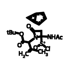 C=C(C)C(C(=O)OC(C)(C)C)N1C(=O)CC1(NC(C)=O)[S+]([O-])Cl.c1cc2cc-2c1